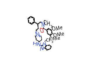 COc1cc(C(=O)N(C)CC(CCN2CCC(Nc3nc4ccccc4n3CC(F)(F)F)CC2)c2ccccc2)cc(OC)c1OC